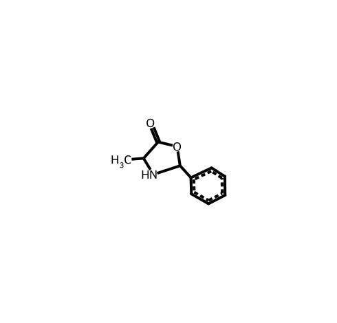 CC1NC(c2ccccc2)OC1=O